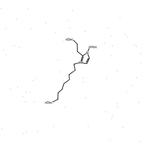 CCCCCCCCCCCCCCCCCC[n+]1ccn(CCCCCC)c1CCCCCCCCCCCC